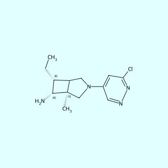 CC[C@@H]1C2CN(c3cnnc(Cl)c3)C[C@@]2(C)[C@@H]1N